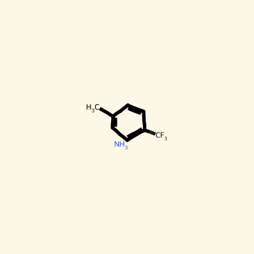 Cc1ccc(C(F)(F)F)cc1.N